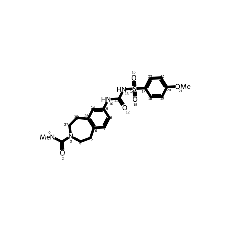 CNC(=O)N1CCc2ccc(NC(=O)NS(=O)(=O)c3ccc(OC)cc3)cc2CC1